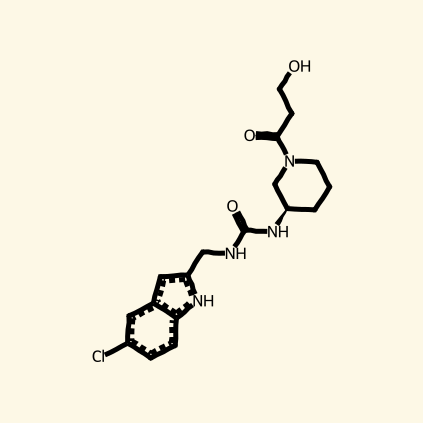 O=C(NCc1cc2cc(Cl)ccc2[nH]1)N[C@@H]1CCCN(C(=O)CCO)C1